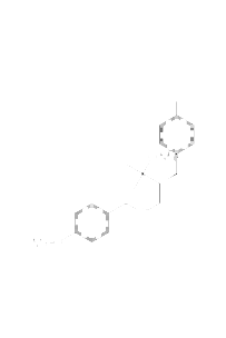 COc1ccc(CO[C@@H](C)[C@H](Cc2ccc(F)cc2)C(C)(C)OC)cc1